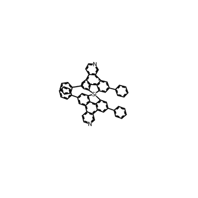 c1ccc(-c2cc3c4c(c2)c2ccncc2c2cc(-c5ccccc5)cc(c24)[Si]32c3cc(-c4ccccc4)cc4c5ccncc5c5cc(-c6ccccc6)cc2c5c34)cc1